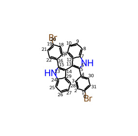 Brc1ccc(-c2[nH]c3ccccc3c2-c2c(-c3ccc(Br)cc3)[nH]c3ccccc23)cc1